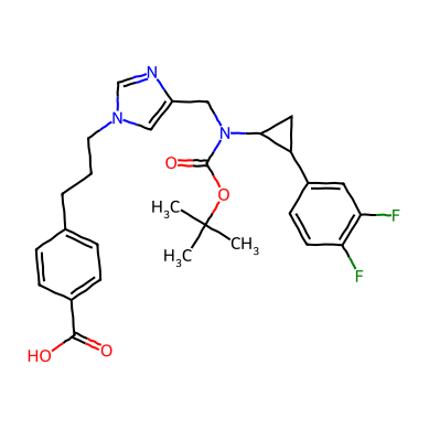 CC(C)(C)OC(=O)N(Cc1cn(CCCc2ccc(C(=O)O)cc2)cn1)C1CC1c1ccc(F)c(F)c1